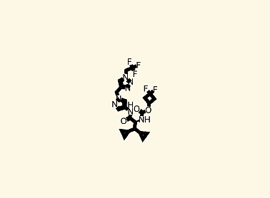 O=C(N[C@H](C(=O)Nc1cnn(Cc2cn(CC(F)(F)F)nn2)c1)C(C1CC1)C1CC1)OC1CC(F)(F)C1